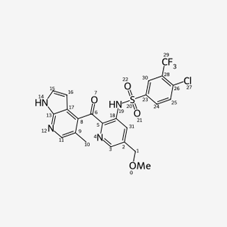 COCc1cnc(C(=O)c2c(C)cnc3[nH]ccc23)c(NS(=O)(=O)c2ccc(Cl)c(C(F)(F)F)c2)c1